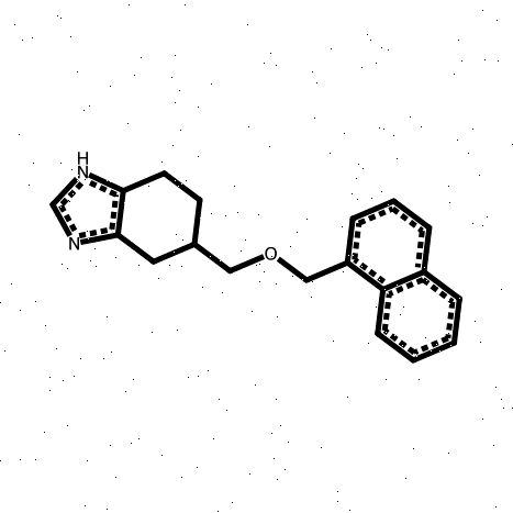 c1ccc2c(COCC3CCc4[nH]cnc4C3)cccc2c1